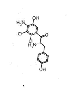 Nc1c(O)cc(C(=O)[C@@H](N)Cc2ccc(O)cc2)c(Cl)c1Cl